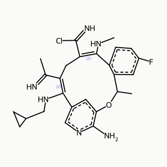 CN/C1=C(\C(=N)Cl)C/C(C(C)=N)=C(/NCC2CC2)c2cnc(N)c(c2)OC(C)c2cc(F)ccc21